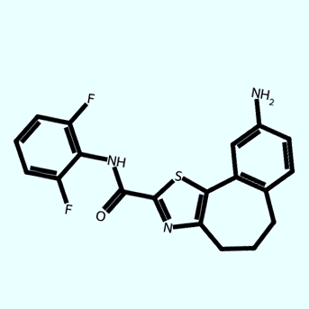 Nc1ccc2c(c1)-c1sc(C(=O)Nc3c(F)cccc3F)nc1CCC2